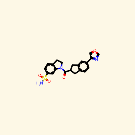 NS(=O)(=O)c1ccc2c(c1)N(C(=O)C1Cc3ccc(-c4cocn4)cc3C1)CC2